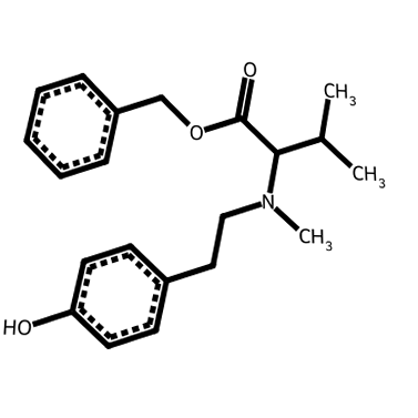 CC(C)C(C(=O)OCc1ccccc1)N(C)CCc1ccc(O)cc1